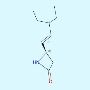 CCC(/C=C/[C@H]1CC(=O)N1)CC